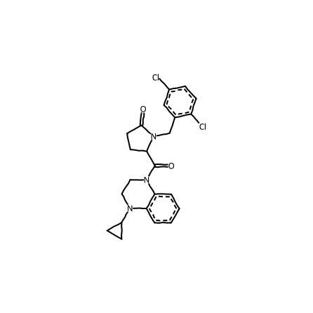 O=C(C1CCC(=O)N1Cc1cc(Cl)ccc1Cl)N1CCN(C2CC2)c2ccccc21